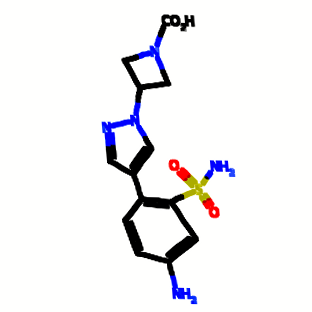 Nc1ccc(-c2cnn(C3CN(C(=O)O)C3)c2)c(S(N)(=O)=O)c1